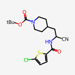 CC(C)(C)OC(=O)N1CCC(CC(C#N)NC(=O)c2ccc(Cl)s2)CC1